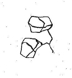 [CH2]C(CC1C2CC3CC(C2)CC1C3)C1C2CC3CC(C2)CC1C3